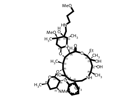 CC[C@H]1OC(=O)[C@H](C)[C@@H](O[C@H]2C[C@@](C)(OC)[C@](O)(CNCCCOC)[C@H](C)O2)[C@H](C)[C@@H](O[C@@H]2O[C@H](C)C[C@H](NC)[C@H]2Oc2ccccc2)[C@](C)(O)C[C@@H](C)CN[C@H](C)[C@@H](O)[C@]1(C)O